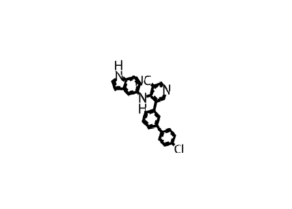 N#Cc1cncc(-c2cccc(-c3ccc(Cl)cc3)c2)c1Nc1ccc2[nH]ccc2c1